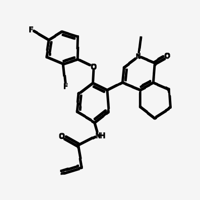 C=CC(=O)Nc1ccc(Oc2ccc(F)cc2F)c(-c2cn(C)c(=O)c3c2CCCC3)c1